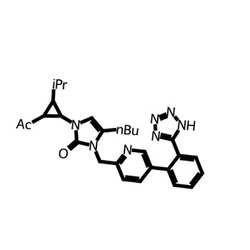 CCCCc1cn(C2C(C(C)=O)C2C(C)C)c(=O)n1Cc1ccc(-c2ccccc2-c2nnn[nH]2)cn1